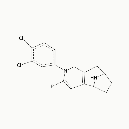 FC1=CC2=C(CC3CCC2N3)CN1c1ccc(Cl)c(Cl)c1